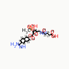 CS(=O)(=O)O.N=C(N)c1ccc2cc(OC(=O)c3ccc(CNC(=O)CCCC(=O)O)o3)ccc2c1